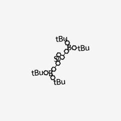 CC(C)(C)c1ccc(B(c2ccc(-c3ccc4c(c3)[Si](C)(C)c3cccc5c(-c6ccc(B(c7ccc(C(C)(C)C)cc7)c7ccc(C(C)(C)C)cc7)cc6)ccc-4c35)cc2)c2ccc(C(C)(C)C)cc2)cc1